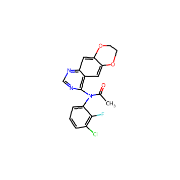 CC(=O)N(c1cccc(Cl)c1F)c1ncnc2cc3c(cc12)OCCO3